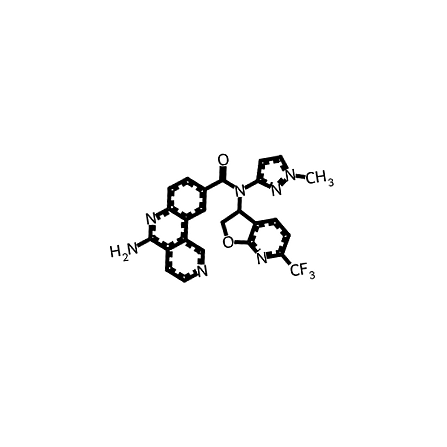 Cn1ccc(N(C(=O)c2ccc3nc(N)c4ccncc4c3c2)C2COc3nc(C(F)(F)F)ccc32)n1